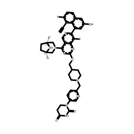 C#Cc1c(F)ccc2cc(O)cc(-c3ncc4c(N5C[C@H]6CC[C@@H](C5)N6)nc(OCC5CCN(Cc6ccc(N7CCC(=O)NC7=O)cn6)CC5)nc4c3F)c12